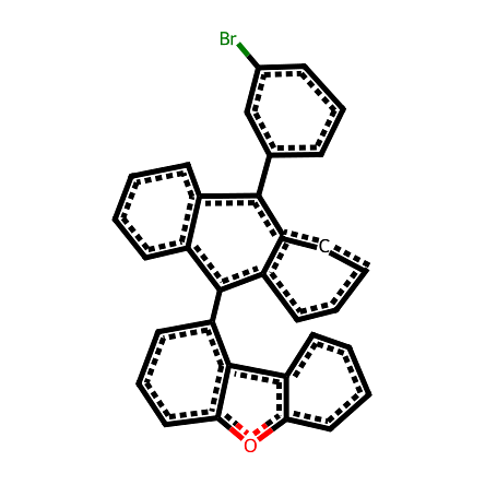 Brc1cccc(-c2c3ccccc3c(-c3cccc4oc5ccccc5c34)c3ccccc23)c1